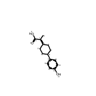 CC(C(=O)O)=C1CCC(c2ccc(O)cc2)CC1